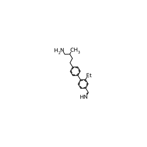 CCc1cc(C=N)ccc1-c1ccc(CCC(C)CN)cc1